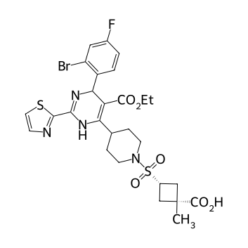 CCOC(=O)C1=C(C2CCN(S(=O)(=O)[C@H]3C[C@@](C)(C(=O)O)C3)CC2)NC(c2nccs2)=NC1c1ccc(F)cc1Br